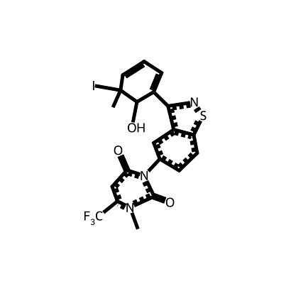 Cn1c(C(F)(F)F)cc(=O)n(-c2ccc3snc(C4=CC=CC(C)(I)C4O)c3c2)c1=O